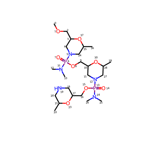 COCC1CN(P(=O)(OCC2CN(P(=O)(OCC3CNCC(C)O3)N(C)C)CC(C)O2)N(C)C)CC(C)O1